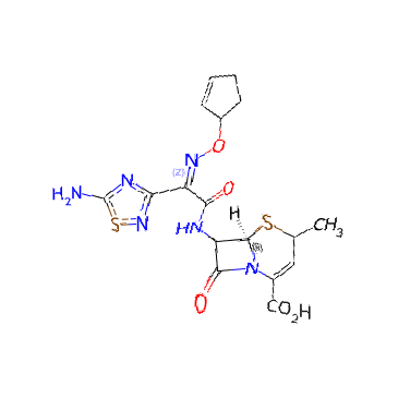 CC1C=C(C(=O)O)N2C(=O)C(NC(=O)/C(=N\OC3C=CCC3)c3nsc(N)n3)[C@H]2S1